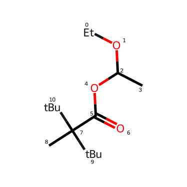 CCOC(C)OC(=O)C(C)(C(C)(C)C)C(C)(C)C